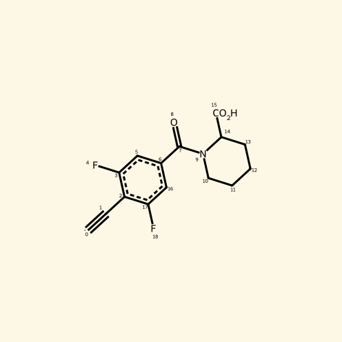 [C]#Cc1c(F)cc(C(=O)N2CCCCC2C(=O)O)cc1F